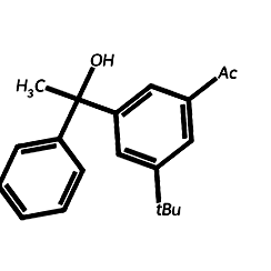 CC(=O)c1cc(C(C)(C)C)cc(C(C)(O)c2ccccc2)c1